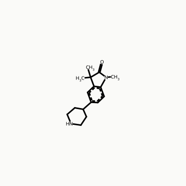 CN1C(=O)C(C)(C)c2cc(C3CCNCC3)ccc21